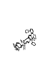 O=c1c(-c2c(Cl)cccc2Cl)cc2cnc(Nc3ccc4nsnc4c3)nc2n1C1CCCC1